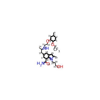 Cc1ccc(OCC(F)(F)F)c(OCCN[C@H](C)Cc2cc(C(N)=O)c3c(c2)cc(C)n3CCCO)c1